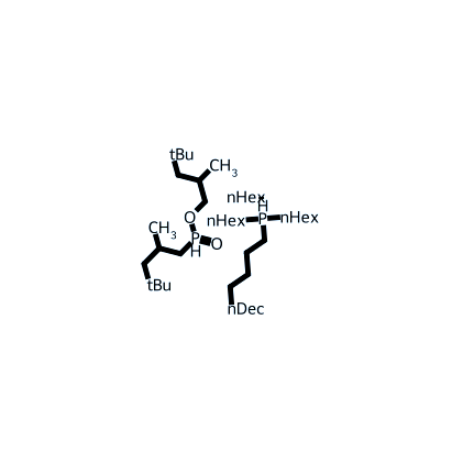 CC(CO[PH](=O)CC(C)CC(C)(C)C)CC(C)(C)C.CCCCCCCCCCCCCC[PH](CCCCCC)(CCCCCC)CCCCCC